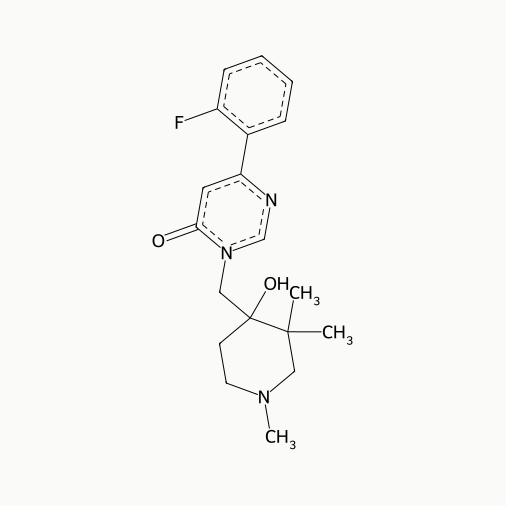 CN1CCC(O)(Cn2cnc(-c3ccccc3F)cc2=O)C(C)(C)C1